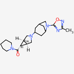 Cc1noc(N2CC3CC(N4C[C@@H]5[C@H](C4)[C@H]5C(=O)N4CCCCC4)CC2C3)n1